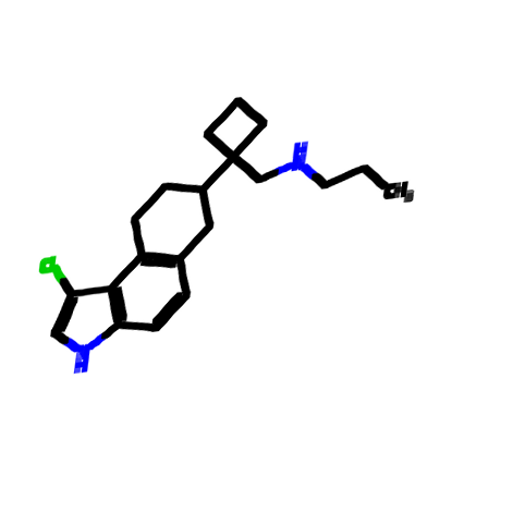 CCCNCC1(C2CCc3c(ccc4[nH]cc(Cl)c34)C2)CCC1